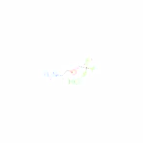 Cl.NCCOCC(F)(F)F